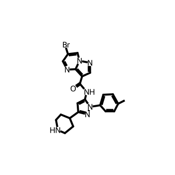 Cc1ccc(-n2nc(C3CCNCC3)cc2NC(=O)c2cnn3cc(Br)cnc23)cc1